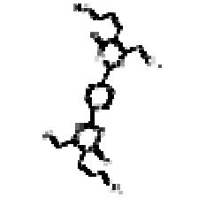 C=C/C=C\c1c(C=C)nc(-c2ccc(-c3nc(C=C)c(/C=C\C=C)c(=O)o3)cc2)oc1=O